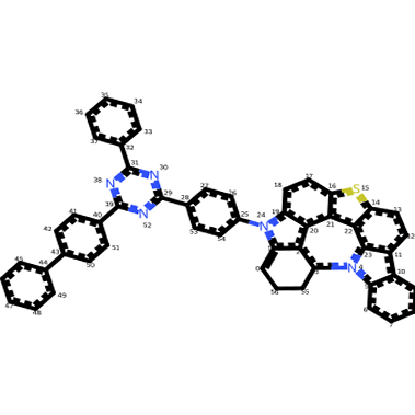 C1=c2c3c(n4c5ccccc5c5ccc6sc7ccc(c3c7c6c54)n2-c2ccc(-c3nc(-c4ccccc4)nc(-c4ccc(-c5ccccc5)cc4)n3)cc2)CC1